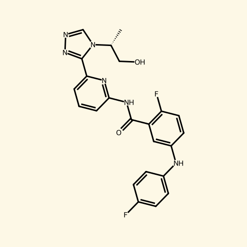 C[C@H](CO)n1cnnc1-c1cccc(NC(=O)c2cc(Nc3ccc(F)cc3)ccc2F)n1